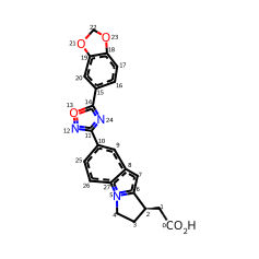 O=C(O)C[C@H]1CCn2c1cc1cc(-c3noc(-c4ccc5c(c4)OCO5)n3)ccc12